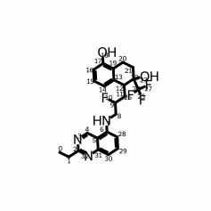 CCc1ncc2c(NCC(F)CC3c4cccc(O)c4CCC3(O)C(F)(F)F)cccc2n1